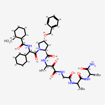 CCCCC(NC(=O)C(CCCC)NC(=O)CNC(=O)C(=O)C(CCC)NC(=O)[C@@H]1C[C@@H](OCc2ccccc2)CN1C(=O)C(NC(=O)C1CCCC[C@@H]1C(=O)O)C1CCCCC1)C(N)=O